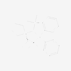 CC[Si](CC)(CC)P([Si](C)(C)C)[Si](c1ccccc1)(c1ccccc1)C(C)(C)C